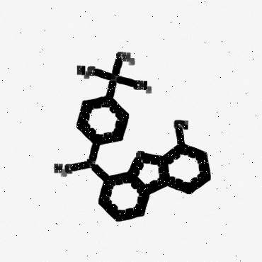 CN(c1ccc([Si](C)(C)C)cc1)c1cccc2c1oc1c(C#N)cccc12